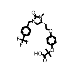 CN1C(=O)N(Cc2ccc(C(F)(F)F)cc2)C[C@H]1CCOc1ccc(OC(C)(C)C(=O)O)cc1